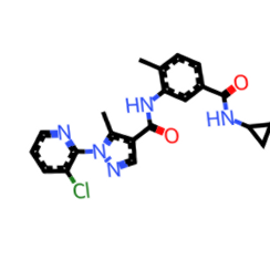 Cc1ccc(C(=O)NC2CC2)cc1NC(=O)c1cnn(-c2ncccc2Cl)c1C